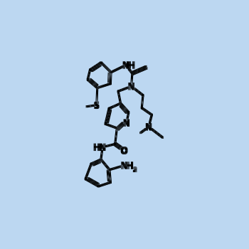 C=C(Nc1cccc(SC)c1)N(CCCN(C)C)Cc1ccc(C(=O)Nc2ccccc2N)nc1